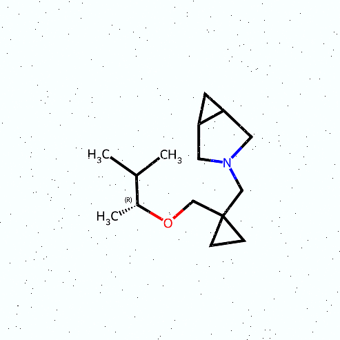 CC(C)[C@@H](C)OCC1(CN2CC3CC3C2)CC1